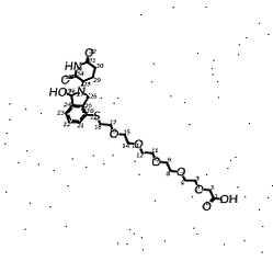 O=C(O)COCCOCCOCCOCCOCCSc1cccc2c1CN(C1CCC(=O)NC1=O)C2O